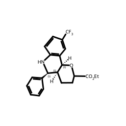 CCOC(=O)C1CC[C@H]2[C@@H](c3ccccc3)Nc3ccc(C(F)(F)F)cc3[C@H]2O1